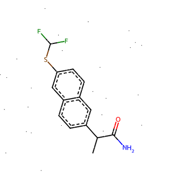 CC(C(N)=O)c1ccc2cc(SC(F)F)ccc2c1